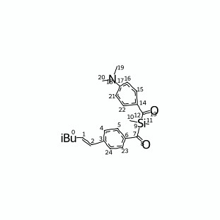 CCC(C)/C=C/c1ccc(C(=O)[Si](C)(C)C(=O)c2ccc(N(C)C)cc2)cc1